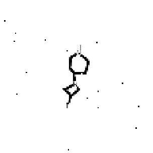 FC1CN(C2CCNCC2)C1